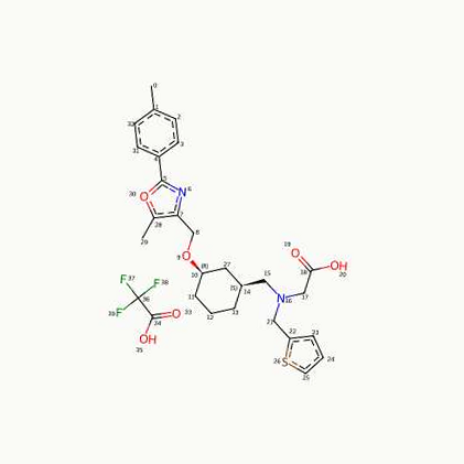 Cc1ccc(-c2nc(CO[C@@H]3CCC[C@H](CN(CC(=O)O)Cc4cccs4)C3)c(C)o2)cc1.O=C(O)C(F)(F)F